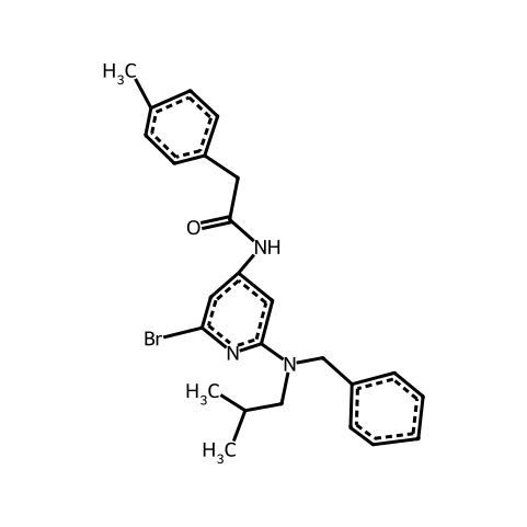 Cc1ccc(CC(=O)Nc2cc(Br)nc(N(Cc3ccccc3)CC(C)C)c2)cc1